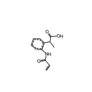 C=CC(=O)Nc1ccccc1C(C)C(=O)O